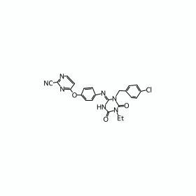 CCn1c(=O)[nH]/c(=N\c2ccc(Oc3ccnc(C#N)n3)cc2)n(Cc2ccc(Cl)cc2)c1=O